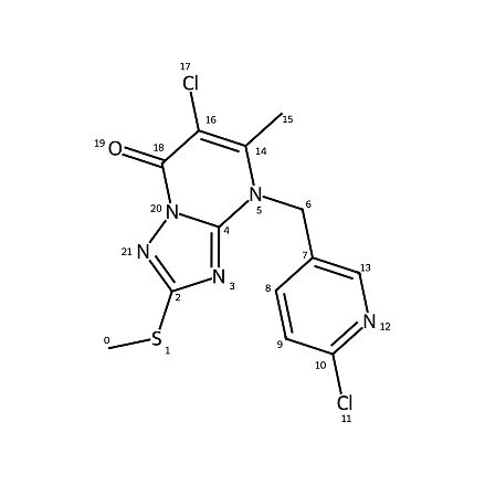 CSc1nc2n(Cc3ccc(Cl)nc3)c(C)c(Cl)c(=O)n2n1